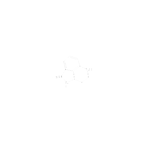 O=C1NC2CCNc3cccc1c32